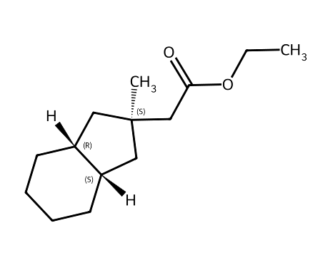 CCOC(=O)C[C@]1(C)C[C@H]2CCCC[C@H]2C1